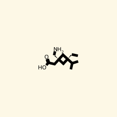 CC[C@]1(C(C)C)C[C@@](CN)(CC(=O)O)C1